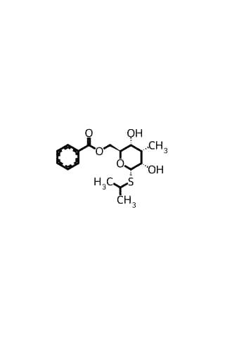 CC(C)S[C@@H]1O[C@@H](COC(=O)c2ccccc2)[C@H](O)[C@H](C)[C@@H]1O